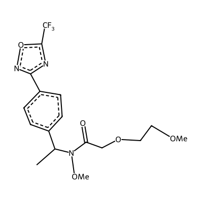 COCCOCC(=O)N(OC)C(C)c1ccc(-c2noc(C(F)(F)F)n2)cc1